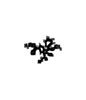 COC(=O)c1ccc2c(c1)N(C(=O)CBr)C(=O)/C2=C(\OC)c1ccccc1